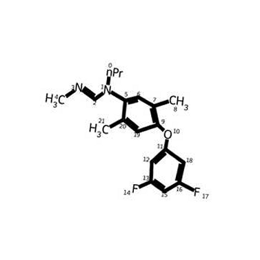 CCCN(C=NC)c1cc(C)c(Oc2cc(F)cc(F)c2)cc1C